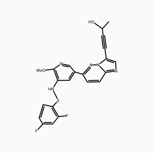 COc1ncc(-c2ccc3ncc(C#CC(C)O)n3n2)cc1NSc1ccc(F)cc1F